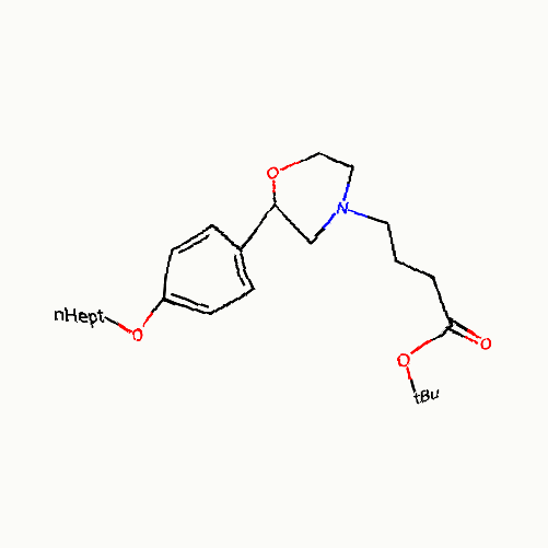 CCCCCCCOc1ccc(C2CN(CCCC(=O)OC(C)(C)C)CCO2)cc1